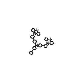 CC1(C)c2ccccc2N(c2cccc(-c3ccc(N(c4ccc(-c5ccccc5)cc4)c4ccc(-c5cccc(N6c7ccccc7C(C)(C)c7ccccc76)c5)cc4)cc3)c2)c2ccccc21